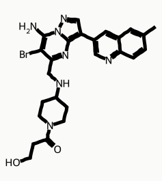 Cc1ccc2ncc(-c3cnn4c(N)c(Br)c(CNC5CCN(C(=O)CCO)CC5)nc34)cc2c1